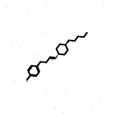 CCCCC[C@H]1CC[C@H](/C=C/CCc2ccc(I)cc2)CC1